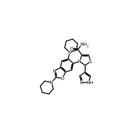 NC(=O)C1=CSC(c2cn[nH]c2)N1c1cc2oc(N3CCCCC3)nc2cc1N1CCCCC1